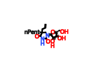 C=CCC1(CCCCC)CN([C@@H]2O[C@H](CO)[C@@H](O)[C@H]2O)C(=O)NC1=O